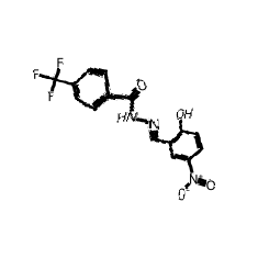 O=C(NN=Cc1cc([N+](=O)[O-])ccc1O)c1ccc(C(F)(F)F)cc1